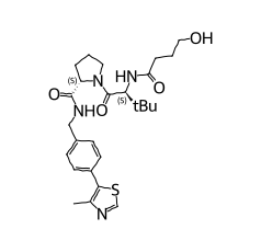 Cc1ncsc1-c1ccc(CNC(=O)[C@@H]2CCCN2C(=O)[C@@H](NC(=O)CCCO)C(C)(C)C)cc1